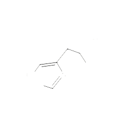 C/C=C(C[C@H](CCCC)C(=O)O)\N=C/CCC